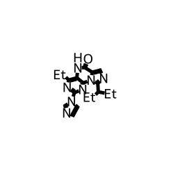 CCc1nc(-n2ccnc2)nc2c1[nH]c(=O)c1cnc(C(CC)CC)n12